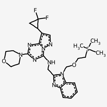 CS(C)(C)CCOCn1c(CNc2nc(N3CCOCC3)nc3c(C4CC4(F)F)cnn23)nc2ccccc21